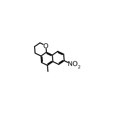 Cc1cc2c(c3ccc([N+](=O)[O-])cc13)OCCC2